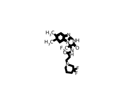 Cc1cc2nc3n(c2cc1C)C(NC(=O)CCN1CCCC(F)(F)C1)(C(F)(F)F)C(=O)N3